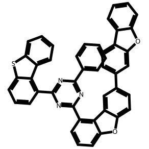 c1ccc(-c2nc(-c3cccc4oc5ccc(-c6ccc7c(c6)oc6ccccc67)cc5c34)nc(-c3cccc4sc5ccccc5c34)n2)cc1